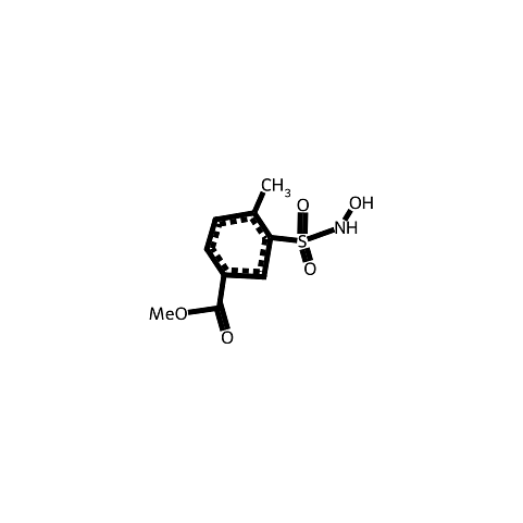 COC(=O)c1ccc(C)c(S(=O)(=O)NO)c1